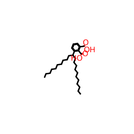 CCCCCCCCCCCC(CCCCCCCCCC)c1cccc(C(=O)O)c1C(=O)O